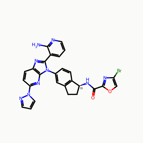 Nc1ncccc1-c1nc2ccc(-n3cccn3)nc2n1-c1ccc2c(c1)CC[C@@H]2NC(=O)c1nc(Br)co1